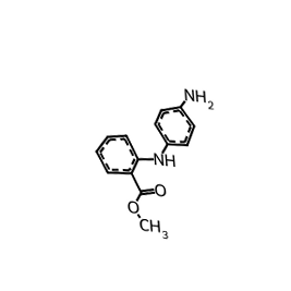 COC(=O)c1ccccc1Nc1ccc(N)cc1